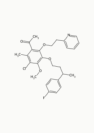 COc1c(Cl)c(C)c(C(C)=O)c(OCCc2ccccn2)c1OCCC(C)c1ccc(F)cc1